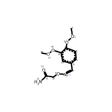 COOc1ccc(/C=N\OCC(N)=O)cc1OOC